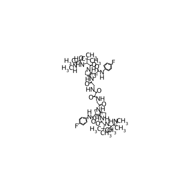 CN[C@@H](C)C(=O)NC(C(=O)N1CC[C@@H]2[C@H]1[C@@H](C(=O)Nc1ccc(F)cc1)CN2C(=O)CNC(=O)C(=O)NCC(=O)N1C[C@H](C(=O)Nc2ccc(F)cc2)[C@@H]2[C@H]1CCN2C(=O)C(NC(=O)[C@H](C)NC)C(C)(C)C)C(C)(C)C